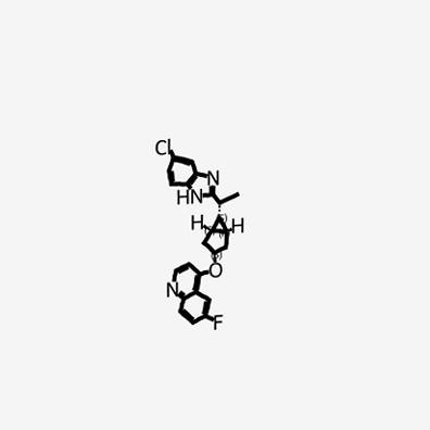 CC(c1nc2cc(Cl)ccc2[nH]1)[C@@H]1[C@@H]2C[C@@H](Oc3ccnc4ccc(F)cc34)C[C@@H]21